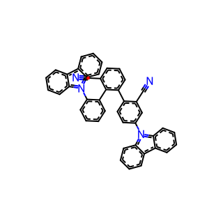 N#Cc1cc(-n2c3ccccc3c3ccccc32)ccc1-c1cccc(C#N)c1-c1ccccc1-n1c2ccccc2c2ccccc21